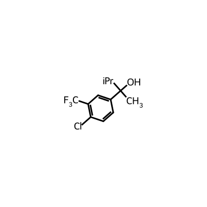 CC(C)C(C)(O)c1ccc(Cl)c(C(F)(F)F)c1